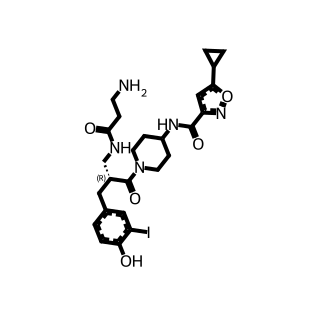 NCCC(=O)NC[C@@H](Cc1ccc(O)c(I)c1)C(=O)N1CCC(NC(=O)c2cc(C3CC3)on2)CC1